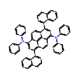 c1ccc(N(c2ccccc2)c2cc(-c3cccc4ccccc34)c3ccc4c(N(c5ccccc5)c5ccccc5)cc(-c5cccc6ccccc56)c5ccc2c3c54)cc1